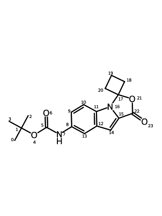 CC(C)(C)OC(=O)Nc1ccc2c(c1)cc1n2C2(CCC2)OC1=O